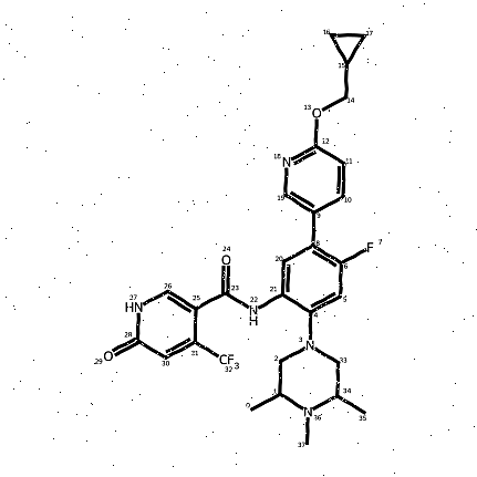 CC1CN(c2cc(F)c(-c3ccc(OCC4CC4)nc3)cc2NC(=O)c2c[nH]c(=O)cc2C(F)(F)F)CC(C)N1C